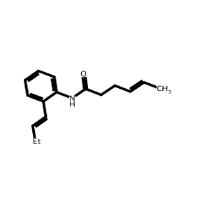 [CH2]CC=Cc1ccccc1NC(=O)CCC=CC